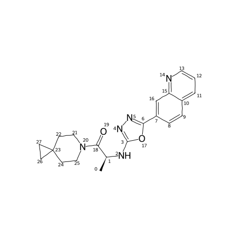 C[C@H](Nc1nnc(-c2ccc3cccnc3c2)o1)C(=O)N1CCC2(CC1)CC2